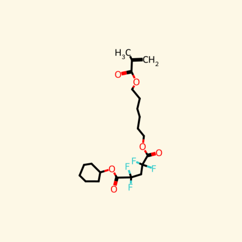 C=C(C)C(=O)OCCCCCCOC(=O)C(F)(F)CC(F)(F)C(=O)OC1CCCCC1